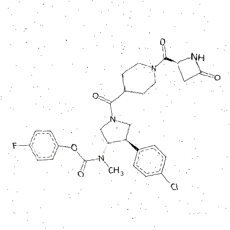 CN(C(=O)Oc1ccc(F)cc1)[C@@H]1CN(C(=O)C2CCN(C(=O)[C@@H]3CC(=O)N3)CC2)C[C@H]1c1ccc(Cl)cc1